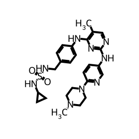 Cc1cnc(Nc2ccc(N3CCN(C)CC3)nc2)nc1Nc1ccc(CNS(=O)(=O)NC2CC2)cc1